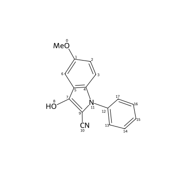 COc1ccc2c(c1)c(O)c(C#N)n2-c1ccccc1